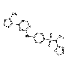 CN(c1nccs1)S(=O)(=O)c1ccc(Nc2nccc(-c3cccn3C)n2)cc1